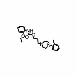 CCOc1ccccc1NC(=O)OCCCN1CCN(c2ccccc2C)CC1